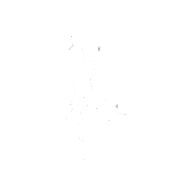 Cc1nc2ccc(N3CCCCC3)cc2c(-c2ccc(F)cc2)c1CCOc1cccc(C(N)=O)c1